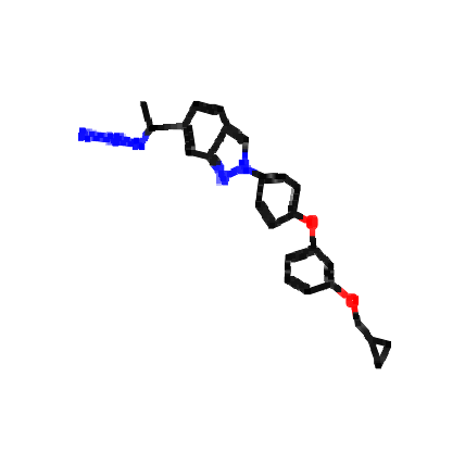 CC(N=[N+]=[N-])c1ccc2cn(-c3ccc(Oc4cccc(OCC5CC5)c4)cc3)nc2c1